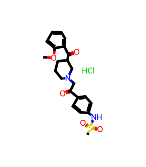 COc1ccccc1C(=O)C1CCCN(CC(=O)c2ccc(NS(C)(=O)=O)cc2)C1.Cl